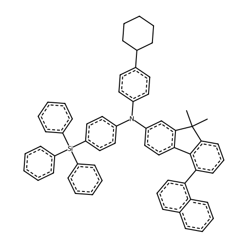 CC1(C)c2cc(N(c3ccc(C4CCCCC4)cc3)c3ccc([Si](c4ccccc4)(c4ccccc4)c4ccccc4)cc3)ccc2-c2c(-c3cccc4ccccc34)cccc21